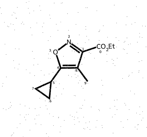 CCOC(=O)c1noc(C2CC2)c1C